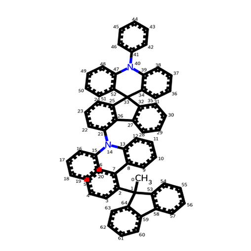 CC1(c2ccccc2-c2ccccc2N(c2ccccc2)c2cccc3c2-c2ccccc2C32c3ccccc3N(c3ccccc3)c3ccccc32)c2ccccc2-c2ccccc21